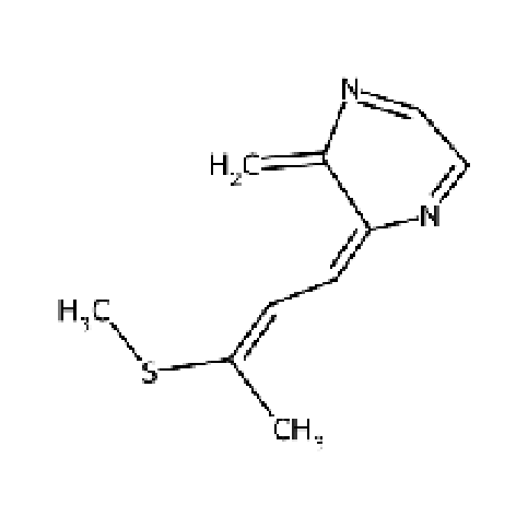 C=c1nccn/c1=C/C=C(\C)SC